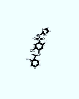 CC(Oc1cc(F)c(S(=O)(=O)Nc2nccs2)cc1Cl)c1ccccc1F